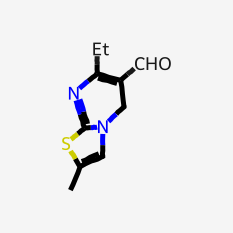 CCC1=C(C=O)CN2C=C(C)SC2=N1